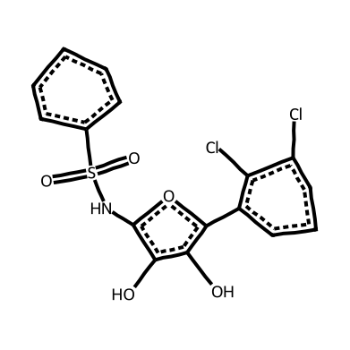 O=S(=O)(Nc1oc(-c2cccc(Cl)c2Cl)c(O)c1O)c1ccccc1